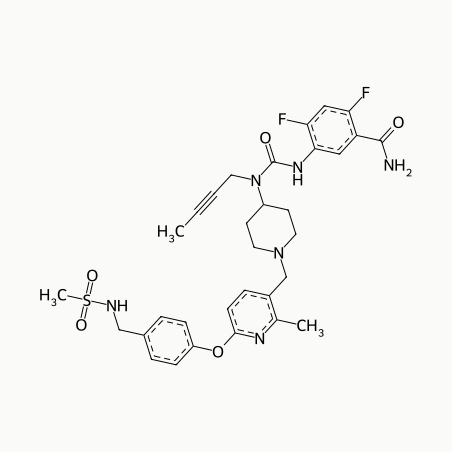 CC#CCN(C(=O)Nc1cc(C(N)=O)c(F)cc1F)C1CCN(Cc2ccc(Oc3ccc(CNS(C)(=O)=O)cc3)nc2C)CC1